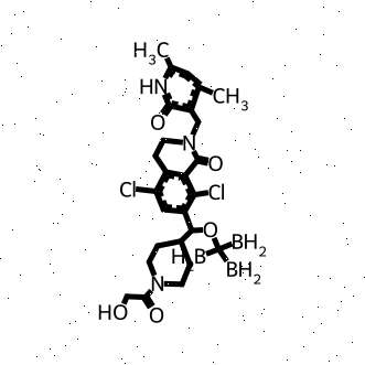 BC(B)(B)OC(c1cc(Cl)c2c(c1Cl)C(=O)N(Cc1c(C)cc(C)[nH]c1=O)CC2)C1CCN(C(=O)CO)CC1